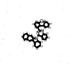 c1ccc2cc3c(cc2c1)c1ccccc1n3-c1nc(-c2cccc3oc4ccccc4c23)nc2ccccc12